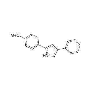 COc1ccc(-c2cc(-c3ccccc3)c[nH]2)cc1